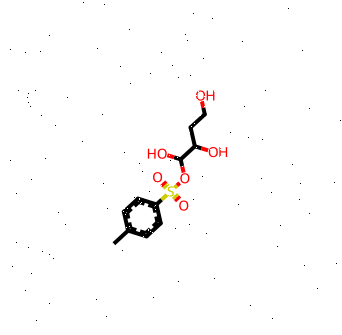 Cc1ccc(S(=O)(=O)OC(O)C(O)CCO)cc1